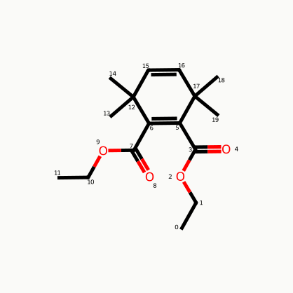 CCOC(=O)C1=C(C(=O)OCC)C(C)(C)C=CC1(C)C